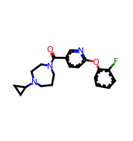 O=C(c1ccc(Oc2ccccc2F)nc1)N1CCCN(C2CC2)CC1